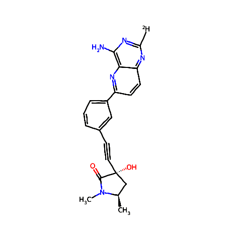 [2H]c1nc(N)c2nc(-c3cccc(C#C[C@@]4(O)C[C@@H](C)N(C)C4=O)c3)ccc2n1